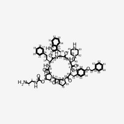 NCCNC(=O)O[C@@H]1C[C@H]2C(=O)N[C@@H](CCc3ccccc3)C(=O)N[C@H](Cc3c[nH]c4ccccc34)C(=O)N[C@@H](CN3CCNCC3)C(=O)N[C@@H](Cc3ccc(OCc4ccccc4)cc3)C(=O)N3CCC[C@H]3C(=O)N2C1